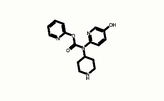 O=C(Oc1ccccn1)N(c1ccc(O)cn1)C1CCNCC1